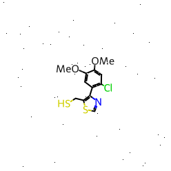 COc1cc(Cl)c(-c2ncsc2CS)cc1OC